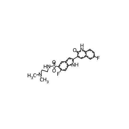 CN(C)CCNS(=O)(=O)c1cc2cc(-c3cc4cc(F)ccc4[nH]c3=O)[nH]c2cc1F